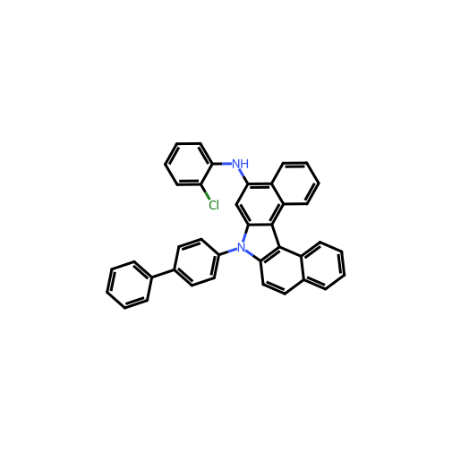 Clc1ccccc1Nc1cc2c(c3ccccc13)c1c3ccccc3ccc1n2-c1ccc(-c2ccccc2)cc1